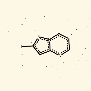 Ic1cc2ncccn2n1